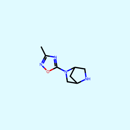 Cc1noc(N2CC3CC2CN3)n1